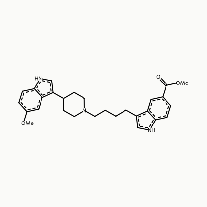 COC(=O)c1ccc2[nH]cc(CCCCN3CCC(c4c[nH]c5ccc(OC)cc45)CC3)c2c1